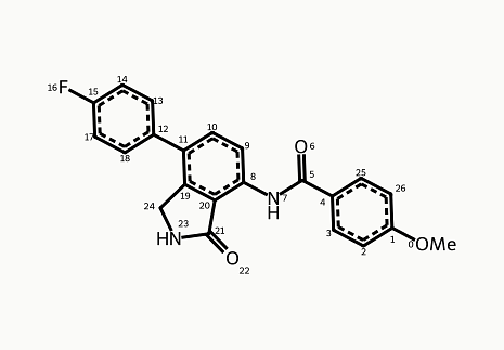 COc1ccc(C(=O)Nc2ccc(-c3ccc(F)cc3)c3c2C(=O)NC3)cc1